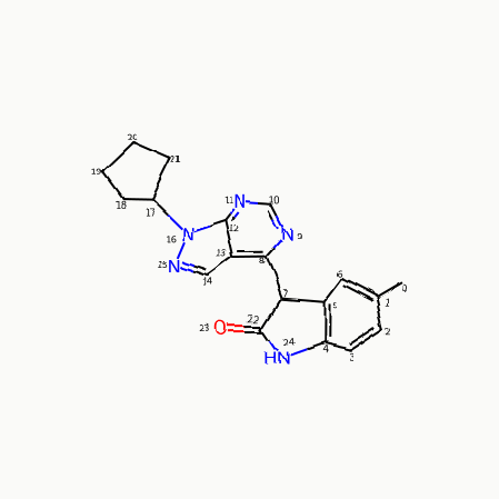 Cc1ccc2c(c1)C(c1ncnc3c1cnn3C1CCCC1)C(=O)N2